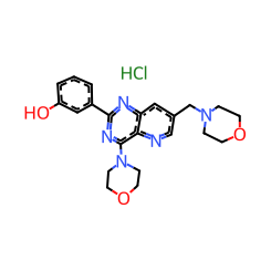 Cl.Oc1cccc(-c2nc(N3CCOCC3)c3ncc(CN4CCOCC4)cc3n2)c1